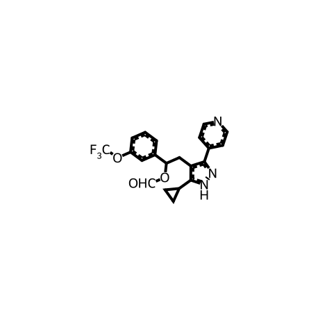 O=COC(Cc1c(-c2ccncc2)n[nH]c1C1CC1)c1cccc(OC(F)(F)F)c1